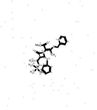 COC(=O)/C(=C(/C)SCc1ccccn1)N1C(=O)[C@H]([C@@H](C)O[Si](C)(C)C(C)(C)C)[C@H]1Sc1ccccc1